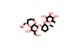 CC[C@@H]1CCC[C@@H](O[C@@H]2OC(CO)[C@H](O)C3O[C@@H](COC)CCCOC32)C1O[C@@H]1OC(C)[C@@H](O)C(O)[C@@H]1O